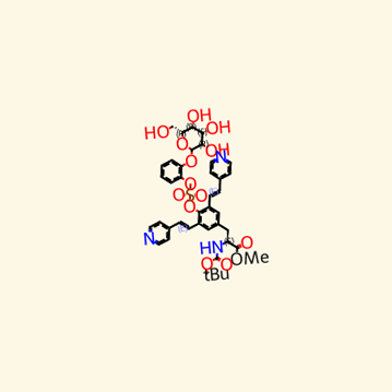 COC(=O)[C@H](Cc1cc(/C=C/c2ccncc2)c(OS(=O)(=O)Oc2ccccc2OC2O[C@H](CO)[C@H](O)[C@H](O)[C@H]2O)c(/C=C/c2ccncc2)c1)NC(=O)OC(C)(C)C